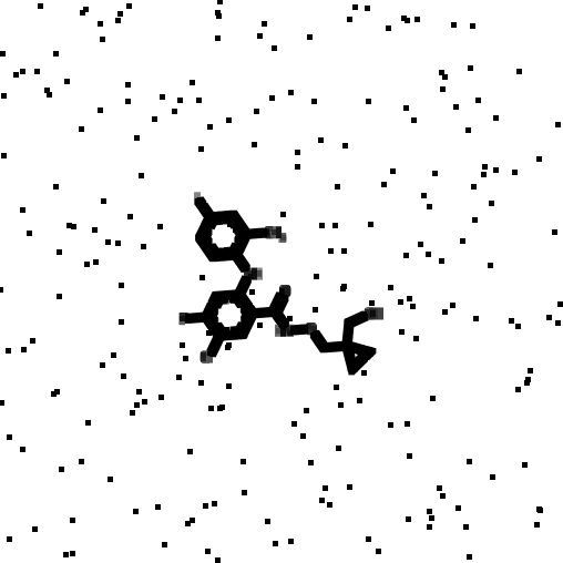 Cc1cc(I)ccc1Nc1cc(F)c(Cl)cc1C(=O)NOCC1(CO)CC1